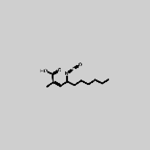 CCCCCCC(C=C(C)C(=O)O)N=C=O